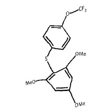 COc1cc(OC)c(Sc2ccc(OC(F)(F)F)cc2)c(OC)c1